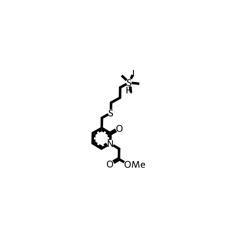 COC(=O)Cn1cccc(CSCCC[SH](C)(C)(C)I)c1=O